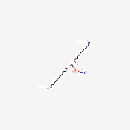 CCCCCCCC/C=C\CCCCCCCCCC(=O)O[C@H](COCCCCCCCCCCCCCCCCCCCCCC)COP(=O)(O)OCC[N+](C)(C)C